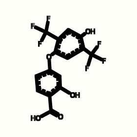 O=C(O)c1ccc(Oc2cc(C(F)(F)F)c(O)cc2C(F)(F)F)cc1O